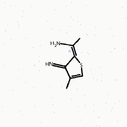 CC1=CS/C(=C(\C)N)C1=N